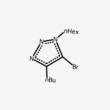 CCCCCCn1nnc(CCCC)c1Br